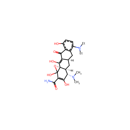 CCN(CC)c1ccc(O)c2c1C[C@H]1C[C@H]3[C@H](N(C)C)C(O)=C(C(N)=O)C4(O)O[C@]34C(O)=C1C2=O